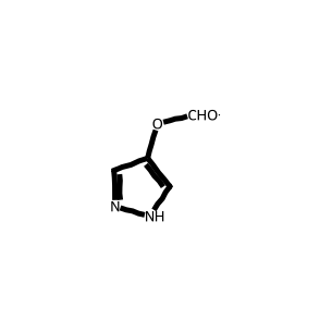 O=[C]Oc1cn[nH]c1